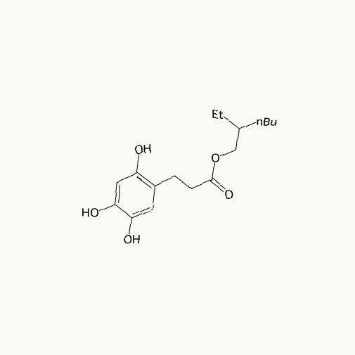 CCCCC(CC)COC(=O)CCc1cc(O)c(O)cc1O